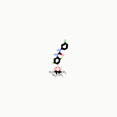 CC1(C)OB(c2cc(F)c(NC(=O)Nc3cccc(Cl)c3)cc2F)OC1(C)C